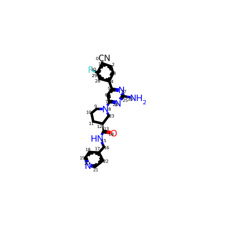 N#Cc1ccc(-c2cc(N3CCC[C@H](C(=O)NCc4ccncc4)C3)nc(N)n2)cc1F